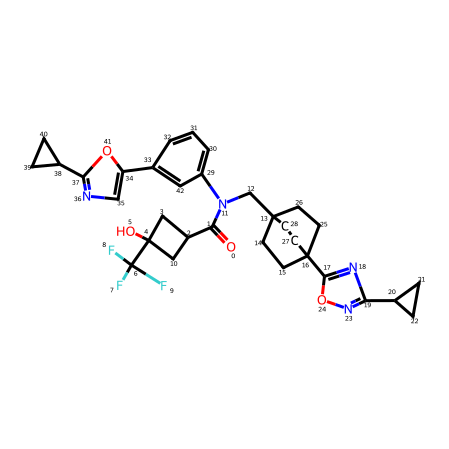 O=C(C1CC(O)(C(F)(F)F)C1)N(CC12CCC(c3nc(C4CC4)no3)(CC1)CC2)c1cccc(-c2cnc(C3CC3)o2)c1